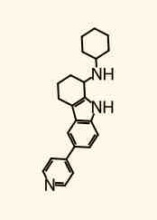 c1cc(-c2ccc3[nH]c4c(c3c2)CCCC4NC2CCCCC2)ccn1